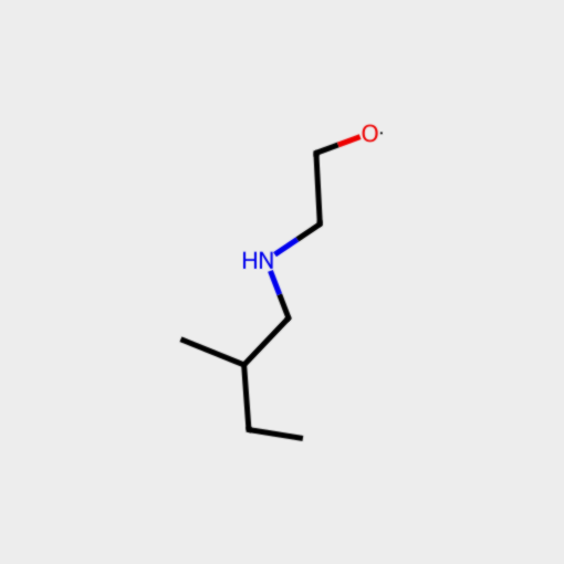 CCC(C)CNCC[O]